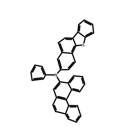 c1ccc(N(c2ccc3c(ccc4c5ccccc5sc34)c2)c2cc3ccc4ccccc4c3c3ccccc23)cc1